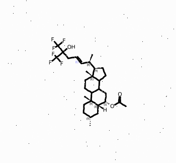 CC(=O)O[C@H]1CC2C3CC[C@H]([C@H](C)/C=C/CC(O)(C(F)(F)F)C(F)(F)F)[C@@]3(C)CCC2[C@@]2(C)CC[C@@H](C)C[C@@H]12